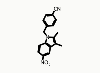 Cc1c(C)n(Cc2ccc(C#N)cc2)c2ccc([N+](=O)[O-])cc12